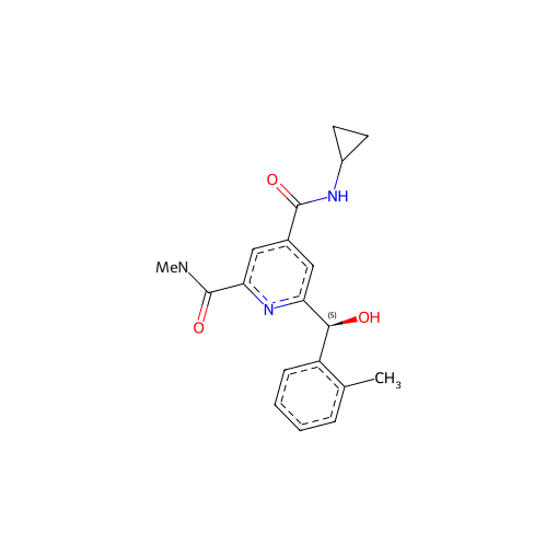 CNC(=O)c1cc(C(=O)NC2CC2)cc([C@@H](O)c2ccccc2C)n1